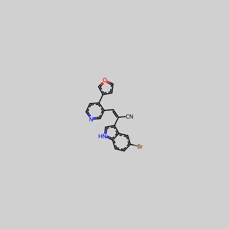 N#C/C(=C/c1cnccc1-c1ccoc1)c1c[nH]c2ccc(Br)cc12